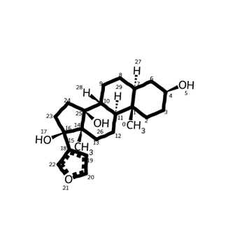 C[C@]12CC[C@H](O)C[C@@H]1CC[C@@H]1[C@@H]2CC[C@]2(C)[C@](O)(c3ccoc3)CC[C@]12O